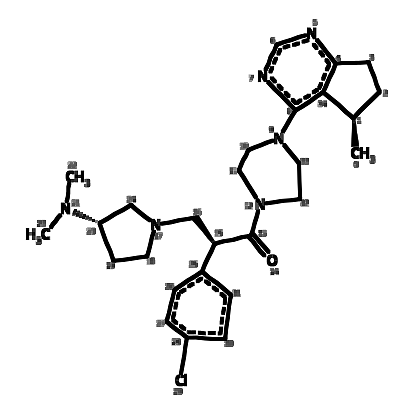 C[C@@H]1CCc2ncnc(N3CCN(C(=O)[C@H](CN4CC[C@H](N(C)C)C4)c4ccc(Cl)cc4)CC3)c21